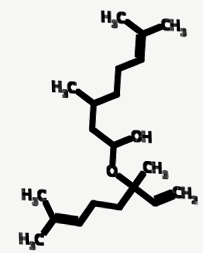 C=CC(C)(CCC=C(C)C)OC(O)CC(C)CCC=C(C)C